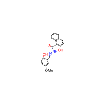 COc1ccc(O)c(C=NNC(=O)c2c(O)ccc3ccccc23)c1